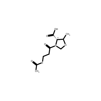 CC(=O)SCCC(=O)N1COC(C)[C@H]1C(=O)O